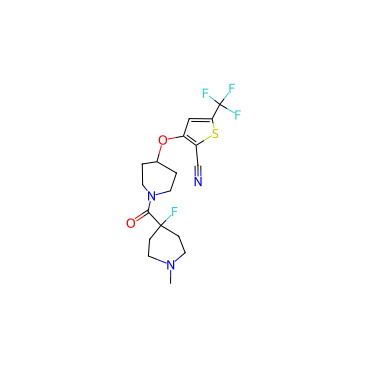 CN1CCC(F)(C(=O)N2CCC(Oc3cc(C(F)(F)F)sc3C#N)CC2)CC1